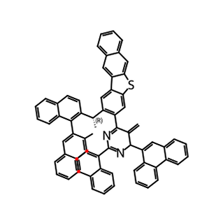 C=C1C(c2cc3sc4cc5ccccc5cc4c3cc2[C@H](C)c2ccc3ccccc3c2-c2cc3ccccc3cc2C)=NC(c2cccc3ccccc23)=NC1c1cc2ccccc2c2ccccc12